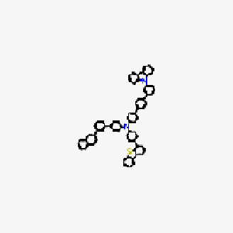 c1cc(-c2ccc(N(c3ccc(-c4ccc(-c5cccc(-n6c7ccccc7c7ccccc76)c5)cc4)cc3)c3ccc(-c4cccc5c4sc4ccccc45)cc3)cc2)cc(-c2ccc3ccccc3c2)c1